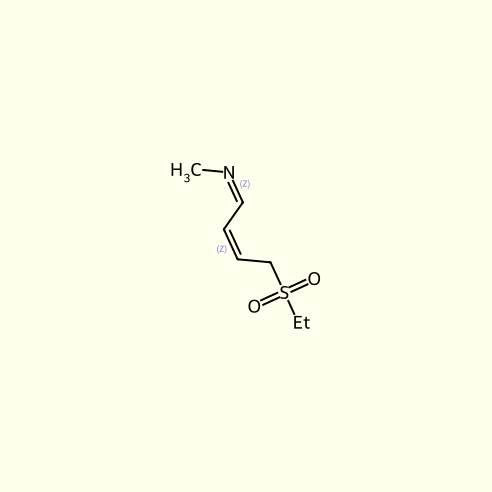 CCS(=O)(=O)C/C=C\C=N/C